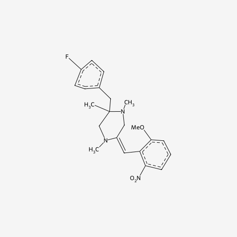 COc1cccc([N+](=O)[O-])c1C=C1CN(C)C(C)(Cc2ccc(F)cc2)CN1C